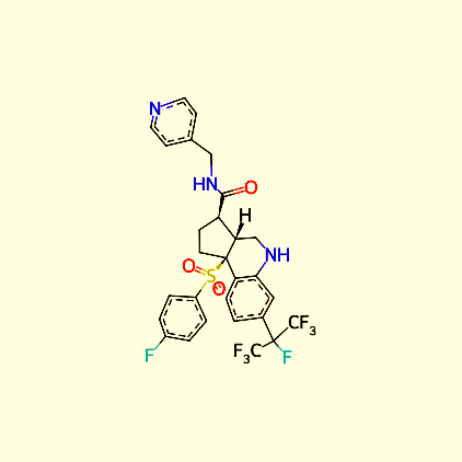 O=C(NCc1ccncc1)[C@@H]1CC[C@@]2(S(=O)(=O)c3ccc(F)cc3)c3ccc(C(F)(C(F)(F)F)C(F)(F)F)cc3NC[C@@H]12